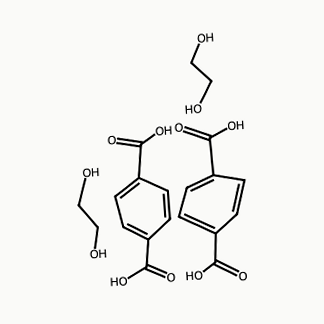 O=C(O)c1ccc(C(=O)O)cc1.O=C(O)c1ccc(C(=O)O)cc1.OCCO.OCCO